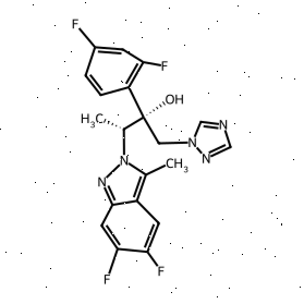 Cc1c2cc(F)c(F)cc2nn1[C@H](C)[C@](O)(Cn1cncn1)c1ccc(F)cc1F